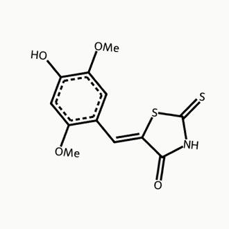 COc1cc(/C=C2\SC(=S)NC2=O)c(OC)cc1O